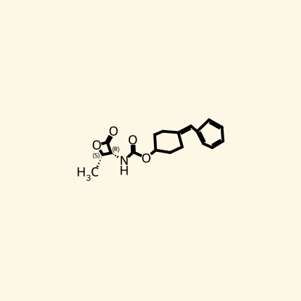 C[C@@H]1OC(=O)[C@@H]1NC(=O)OC1CCC(=Cc2ccccc2)CC1